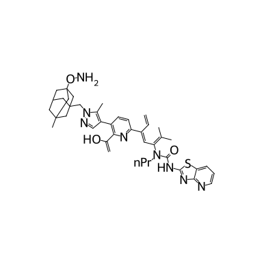 C=C/C(=C\C(=C(C)C)N(CCC)C(=O)Nc1nc2ncccc2s1)c1ccc(-c2cnn(CC34CC5CC(C)(C3)CC(ON)(C5)C4)c2C)c(C(=C)O)n1